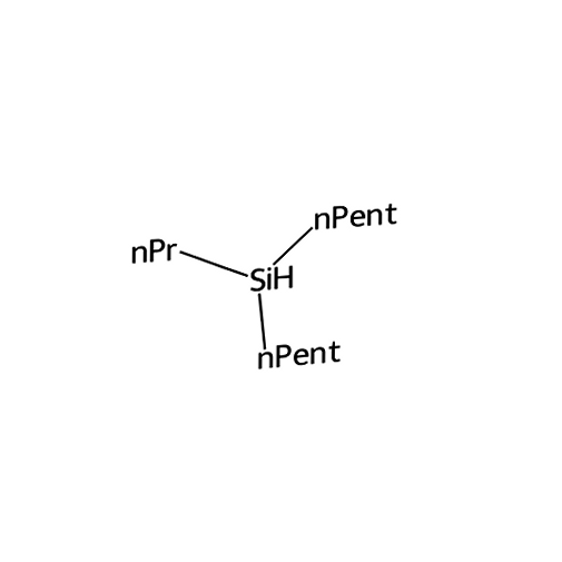 CCCCC[SiH](CCC)CCCCC